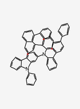 c1ccc(-c2ccc(-c3ccccc3N(c3ccc4c5ccccc5n(-c5ccccc5)c4c3)c3ccccc3-c3cccc4cccc(-c5ccccc5)c34)cc2)cc1